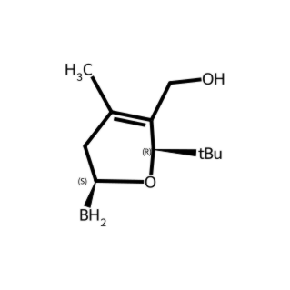 B[C@H]1CC(C)=C(CO)[C@@H](C(C)(C)C)O1